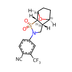 N#Cc1ccc(N2C[C@@H]3[C@@H]([C@H]4CC[C@@H]3O4)S2(=O)=O)cc1C(F)(F)F